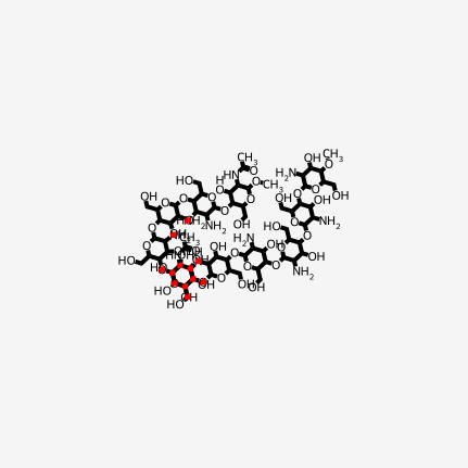 COC1OC(CO)C(OC2OC(CO)C(OC3OC(CO)C(OC4OC(CO)C(OC5OC(CO)C(OC6OC(CO)C(OC7OC(CO)C(OC8OC(CO)C(OC9OC(CO)C(OC%10OC(CO)C(OC)C(O)C%10N)C(O)C9N)C(O)C8N)C(O)C7N)C(O)C6NC[C@H](O)[C@@H](O)[C@@H](O)[C@H](O)CO)C(O)C5NC(C)=O)C(O)C4N)C(O)C3N)C(O)C2N)C(O)C1NC(C)=O